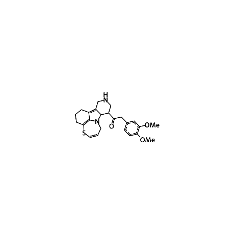 COc1ccc(CC(=O)C2CNCC3=C4CCCC5=C4N(CC=CS5)C32)cc1OC